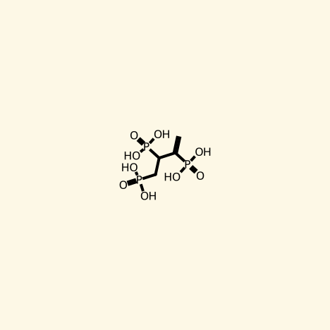 C=C(C(CP(=O)(O)O)P(=O)(O)O)P(=O)(O)O